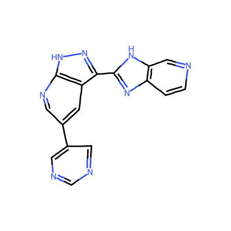 c1cc2nc(-c3n[nH]c4ncc(-c5cncnc5)cc34)[nH]c2cn1